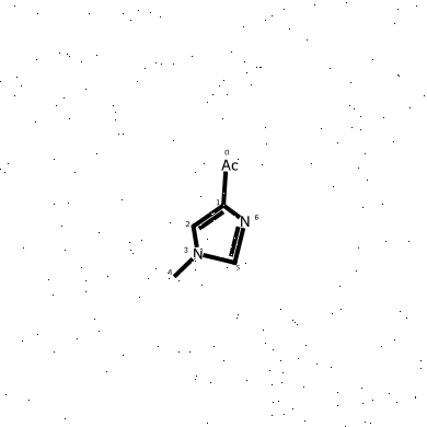 [CH2]C(=O)c1cn(C)cn1